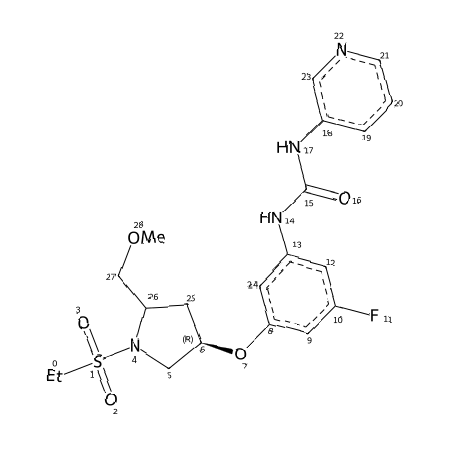 CCS(=O)(=O)N1C[C@H](Oc2cc(F)cc(NC(=O)Nc3cccnc3)c2)CC1COC